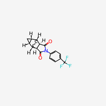 O=C1[C@@H]2[C@@H]3CC[C@@H]([C@@H]4C[C@@H]43)[C@@H]2C(=O)N1c1ccc(C(F)(F)F)cc1